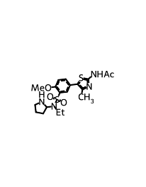 CCN(C1CCCN1)S(=O)(=O)c1cc(-c2sc(NC(C)=O)nc2C)ccc1OC